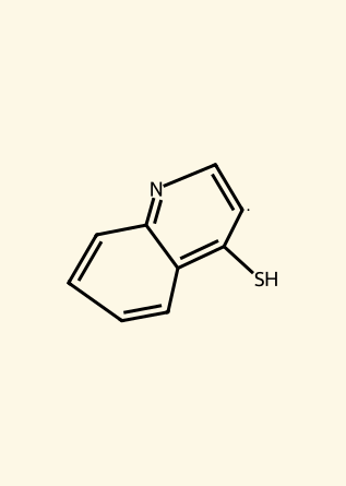 Sc1[c]cnc2ccccc12